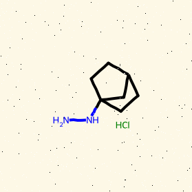 Cl.NNC12CCC(CC1)C2